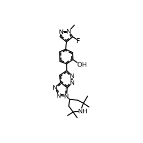 Cn1ncc(-c2ccc(-c3cc4nnn(C5CC(C)(C)NC(C)(C)C5)c4nn3)c(O)c2)c1F